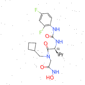 CC(C)[C@H](NC(=O)Nc1ccc(F)cc1F)C(=O)N(CC(=O)NO)CC1CCC1